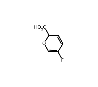 O=C(O)C1C=CC(F)=CO1